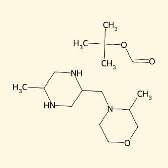 CC(C)(C)OC=O.CC1CNC(CN2CCOCC2C)CN1